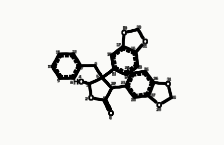 O=C1OC(O)C(Cc2ccccc2)(c2ccc3c(c2)OCO3)C1c1ccc2c(c1)OCO2